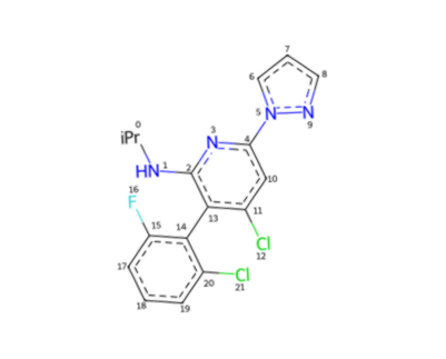 CC(C)Nc1nc(-n2cccn2)cc(Cl)c1-c1c(F)cccc1Cl